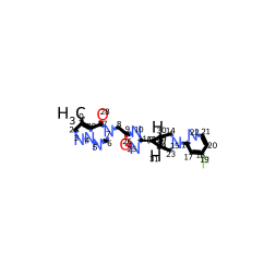 Cc1cnn2ncn(Cc3nc([C@H]4[C@@H]5CN(c6cc(F)ccn6)C[C@@H]54)no3)c(=O)c12